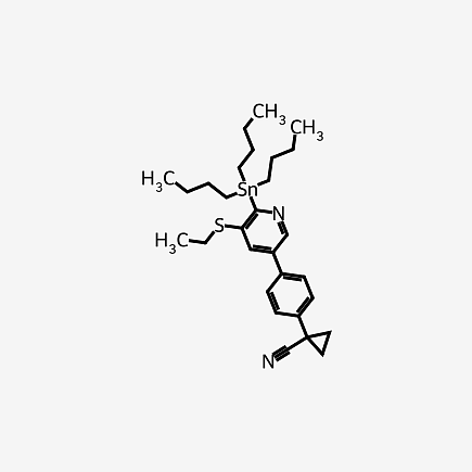 CCC[CH2][Sn]([CH2]CCC)([CH2]CCC)[c]1ncc(-c2ccc(C3(C#N)CC3)cc2)cc1SCC